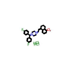 COc1cccc2c1CCC/C2=C/CN1CCN(C(c2ccc(F)cc2)c2ccc(F)cc2)CC1.Cl.Cl